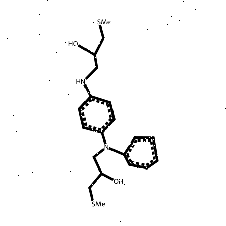 CSCC(O)CNc1ccc(N(CC(O)CSC)c2ccccc2)cc1